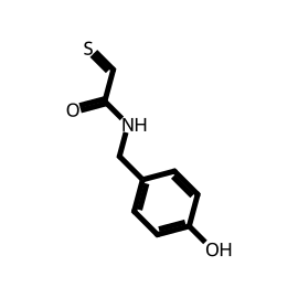 O=C(C=S)NCc1ccc(O)cc1